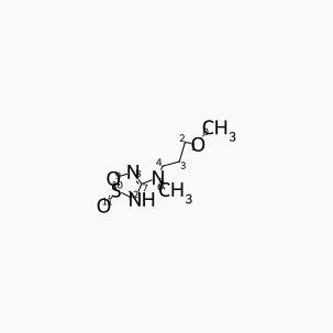 COCCCN(C)C1=NOS(=O)N1